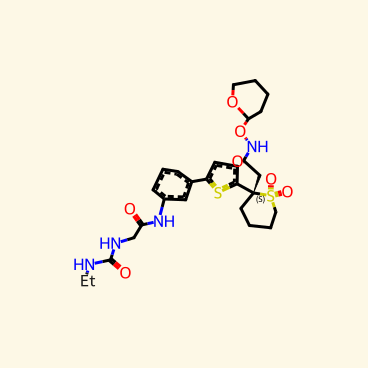 CCNC(=O)NCC(=O)Nc1cccc(-c2ccc([C@@]3(CC(=O)NOC4CCCCO4)CCCCS3(=O)=O)s2)c1